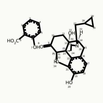 O=C(O)c1ccccc1O.O=C1CC[C@@]2(O)[C@H]3Cc4ccc(O)c5c4[C@@]2(CCN3CC2CC2)[C@H]1O5